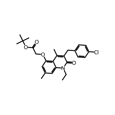 CCn1c(=O)c(Cc2ccc(Cl)cc2)c(C)c2c(OCC(=O)OC(C)(C)C)cc(C)cc21